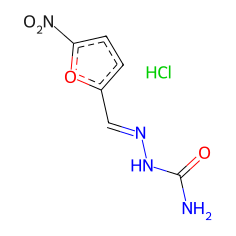 Cl.NC(=O)N/N=C/c1ccc([N+](=O)[O-])o1